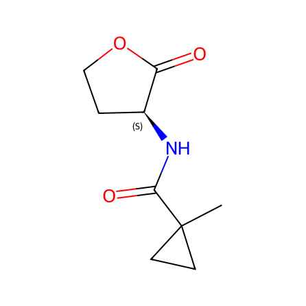 CC1(C(=O)N[C@H]2CCOC2=O)CC1